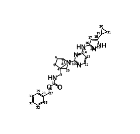 O=C(NCC12CCC(C1)N(c1nccc(Nc3cc(C4CC4)[nH]n3)n1)C2)OCc1ccccc1